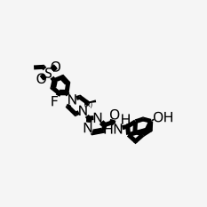 CCS(=O)(=O)c1ccc(N2CCN(c3nccc(C(=O)N[C@H]4C5CC6CC4C[C@](O)(C6)C5)n3)[C@H](C)C2)c(F)c1